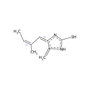 C=c1[nH]c(S)n/c1=C/C(C)=C\C